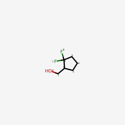 OCC1CCCC1(F)F